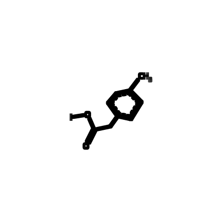 Cc1ccc(CC(=O)OI)cc1